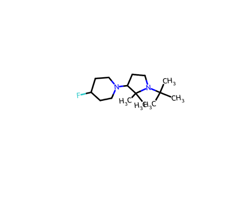 CC(C)(C)N1CCC(N2CCC(F)CC2)C1(C)C